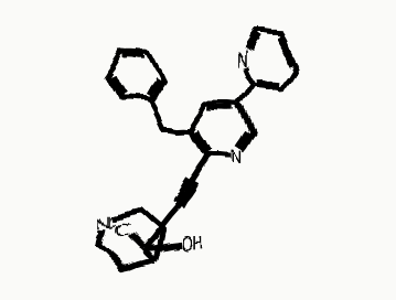 OC1(C#Cc2ncc(-c3ccccn3)cc2Cc2ccccc2)CN2CCC1CC2